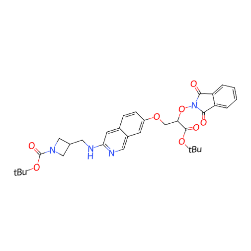 CC(C)(C)OC(=O)C(COc1ccc2cc(NCC3CN(C(=O)OC(C)(C)C)C3)ncc2c1)ON1C(=O)c2ccccc2C1=O